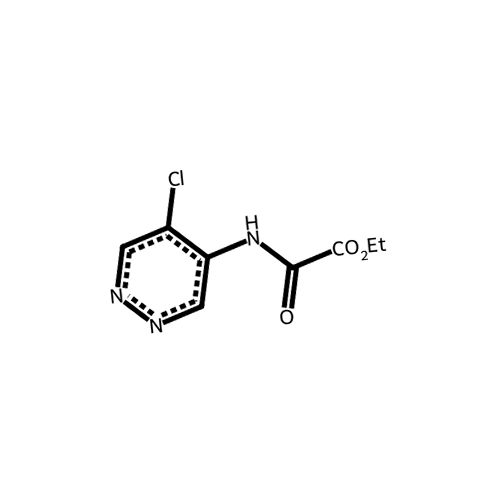 CCOC(=O)C(=O)Nc1cnncc1Cl